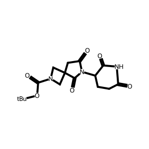 CC(C)(C)OC(=O)N1CC2(CC(=O)N(C3CCC(=O)NC3=O)C2=O)C1